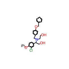 CC(C)Oc1ccc(C(CO)N(CCO)Cc2ccc(OCc3ccccc3)cc2)cc1Cl